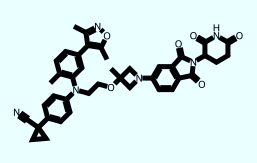 Cc1ccc(-c2c(C)noc2C)cc1N(CCOC1(C)CN(c2ccc3c(c2)C(=O)N(C2CCC(=O)NC2=O)C3=O)C1)c1ccc(C2(C#N)CC2)cc1